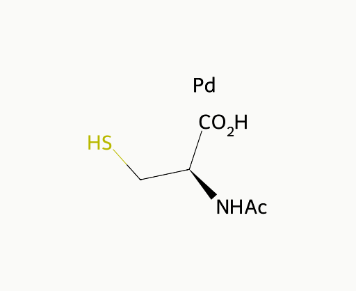 CC(=O)N[C@@H](CS)C(=O)O.[Pd]